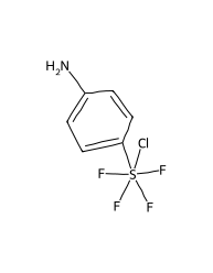 Nc1ccc(S(F)(F)(F)(F)Cl)cc1